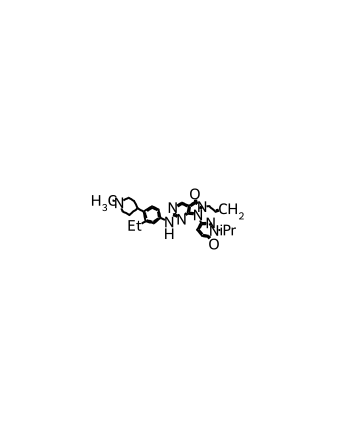 C=CCn1c(=O)c2cnc(Nc3ccc(C4CCN(C)CC4)c(CC)c3)nc2n1-c1ccc(=O)n(C(C)C)n1